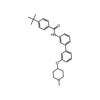 CN1CCC(Oc2cccc(-c3cccc(NC(=O)c4ccc(C(C)(C)C)cc4)c3)c2)CC1